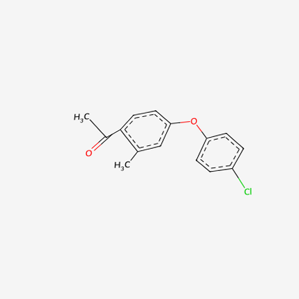 CC(=O)c1ccc(Oc2ccc(Cl)cc2)cc1C